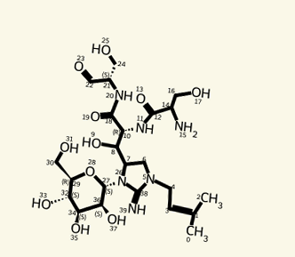 CC(C)=CCN1CC(C(O)[C@@H](NC(=O)C(N)CO)C(=O)N[C@H]([C]=O)CO)N([C@H]2O[C@H](CO)[C@@H](O)[C@H](O)[C@@H]2O)C1=N